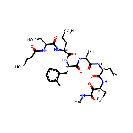 Cc1ccccc1C[C@H](NC(=O)[C@H](CCC(=O)O)NC(=O)[C@H](CC(=O)O)NC(=O)CCC(=O)O)C(=O)N[C@H](C(=O)N[C@@H](CC(C)C)C(=O)N[C@@H](CC(F)(F)F)C(=O)C(=O)NC(C)(C)C)C(C)(C)C